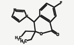 CCC1(CC)OC(=O)c2cc(F)ccc2C1n1ccnc1